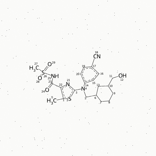 Cc1sc(N(CC2CCCC(CO)C2)c2ccc(C#N)cc2)nc1C(=O)NS(C)(=O)=O